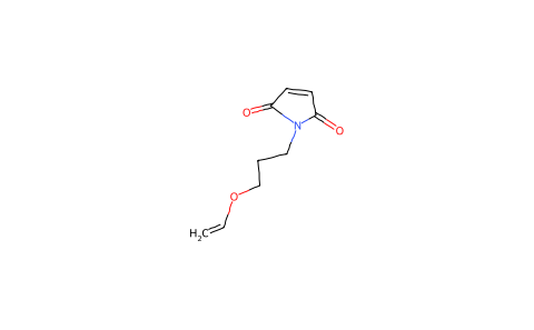 C=COCCCN1C(=O)C=CC1=O